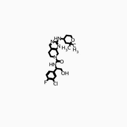 CC1(C)CC(Nc2ncc3c(n2)CN(C(=O)NC(CO)c2ccc(F)c(Cl)c2)CC3)CCO1